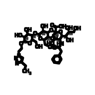 CCc1cn(CCO[C@@H]2OC(CO)[C@@H](O[C@@H]3OC(CO)[C@H](O)C(O[C@]4(C(=O)O)C[C@@H](O)[C@@H](NC(=O)Cc5ccccc5)C([C@H](O)[C@H](O)CO)O4)[C@@H]3O)C(O)[C@@H]2O)nn1